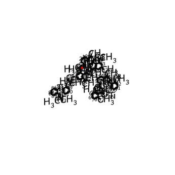 CC(NC(=O)c1c(C(C)C)cc(C)cc1C(C)C)=C1C=CCC(=C(C)NC(=O)c2c(C(C)C)cc(C)cc2C(C)C)N1.CC(NC(=O)c1c(C)cccc1C)=C1C=CCC(=C(C)NC(=O)c2c(C)cccc2C)N1.CN(C)Cc1cccc[c]1[Ti][c]1ccccc1CN(C)C.[Ti]